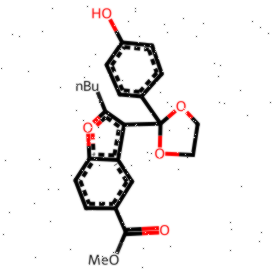 CCCCc1oc2ccc(C(=O)OC)cc2c1C1(c2ccc(O)cc2)OCCO1